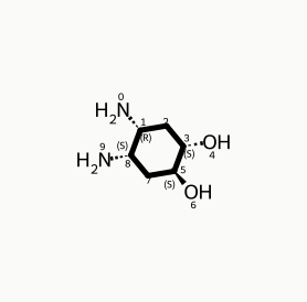 N[C@@H]1C[C@H](O)[C@@H](O)C[C@@H]1N